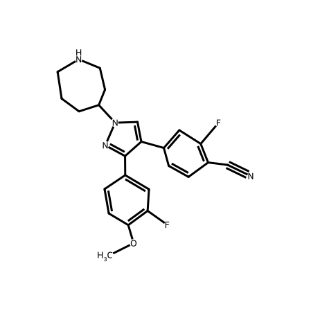 COc1ccc(-c2nn(C3CCCNCC3)cc2-c2ccc(C#N)c(F)c2)cc1F